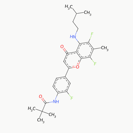 Cc1c(F)c(NCCC(C)C)c2c(=O)cc(-c3ccc(NC(=O)C(C)(C)C)c(F)c3)oc2c1F